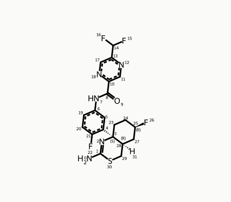 NC1=N[C@@]2(c3cc(NC(=O)c4cnc(C(F)F)cn4)ccc3F)CC[C@@H](F)C[C@H]2CS1